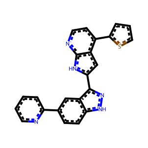 c1ccc(-c2ccc3[nH]nc(-c4cc5c(-c6cccs6)ccnc5[nH]4)c3c2)nc1